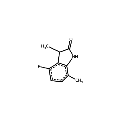 Cc1ccc(F)c2c1NC(=O)C2C